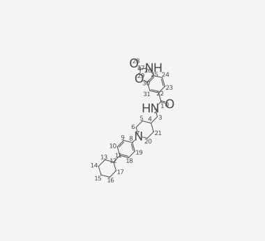 O=C(NCC1CCN(c2ccc(C3CCCCC3)cc2)CC1)c1ccc2[nH]c(=O)oc2c1